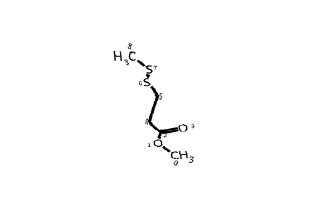 COC(=O)CCSSC